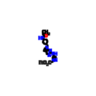 C=CC(=O)N[C@H]1CC[C@H](Cn2ccc3cnc(Nc4cnn(CC(=O)OCC)c4)nc32)CC1